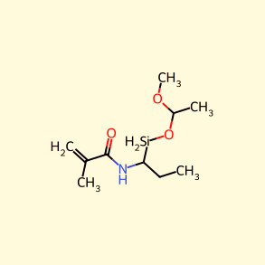 C=C(C)C(=O)NC(CC)[SiH2]OC(C)OC